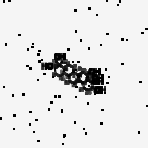 C[C@@]12CCC3[C@](C)(CC[C@H](O)[C@]3(C)CO)C1CC=C1C2C[C@@H](O)[C@]2(CO)C1CC[C@@H](O)[C@@H]2O